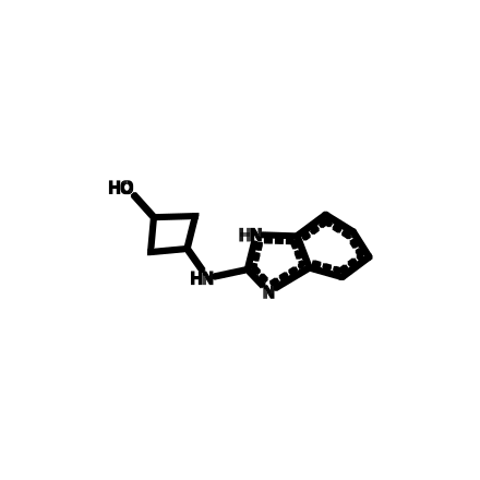 OC1CC(Nc2nc3ccccc3[nH]2)C1